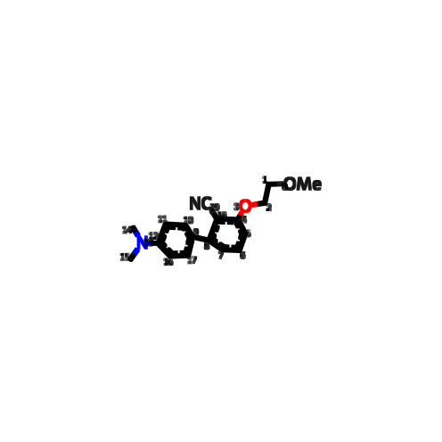 COCCOc1cccc(-c2ccc(N(C)C)cc2)c1C#N